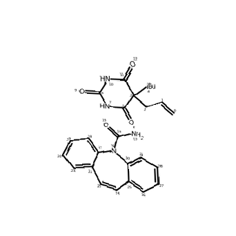 C=CCC1(C(C)CC)C(=O)NC(=O)NC1=O.NC(=O)N1c2ccccc2C=Cc2ccccc21